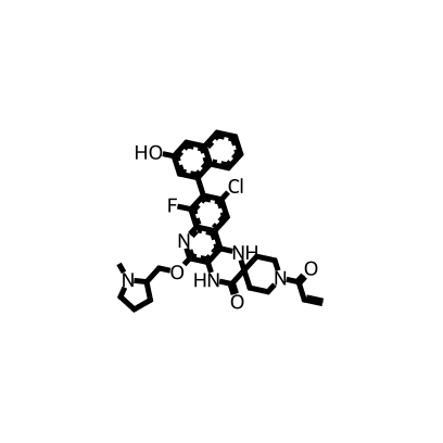 C=CC(=O)N1CCC2(CC1)Nc1c(c(OCC3CCCN3C)nc3c(F)c(-c4cc(O)cc5ccccc45)c(Cl)cc13)NC2=O